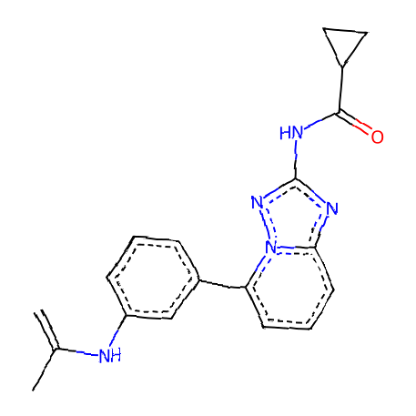 C=C(C)Nc1cccc(-c2cccc3nc(NC(=O)C4CC4)nn23)c1